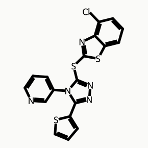 Clc1cccc2sc(Sc3nnc(-c4cccs4)n3-c3cccnc3)nc12